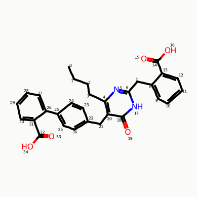 CCCCc1nc(Cc2ccccc2C(=O)O)[nH]c(=O)c1Cc1ccc(-c2ccccc2C(=O)O)cc1